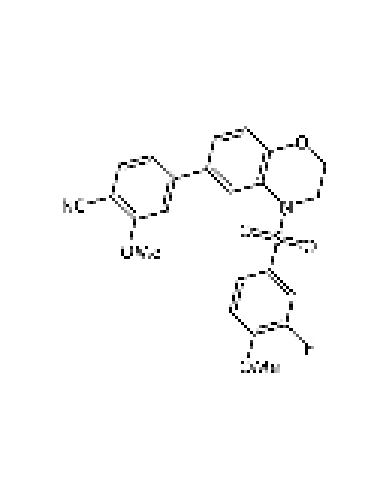 COc1ccc(S(=O)(=O)N2CCOc3ccc(-c4ccc(C#N)c(OC)c4)cc32)cc1F